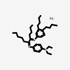 CCCCCC(=Nc1ccc(N(CC)CC)cc1)C(CCCC)=Nc1ccc(CCCC)c(CCCC)c1.[Pd]